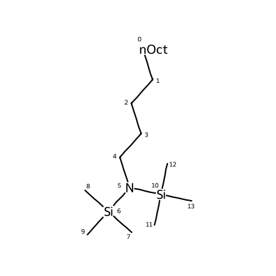 CCCCCCCCCCCCN([Si](C)(C)C)[Si](C)(C)C